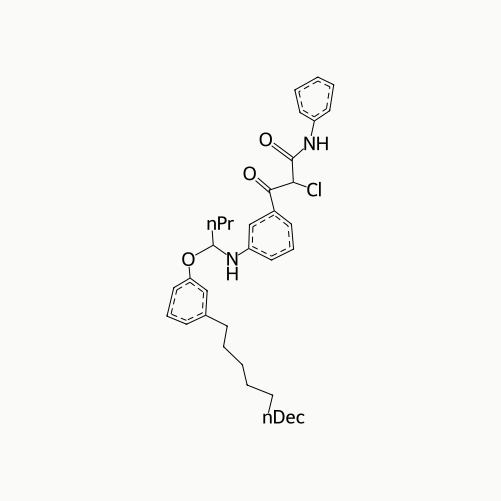 CCCCCCCCCCCCCCCc1cccc(OC(CCC)Nc2cccc(C(=O)C(Cl)C(=O)Nc3ccccc3)c2)c1